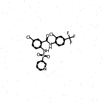 O=C(Nc1ccc(C(F)(F)F)cc1Cl)c1cc(Cl)ccc1NS(=O)(=O)c1cccnc1